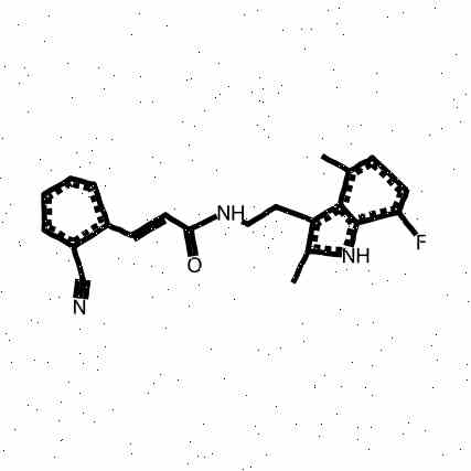 Cc1[nH]c2c(F)ccc(C)c2c1CCNC(=O)C=Cc1ccccc1C#N